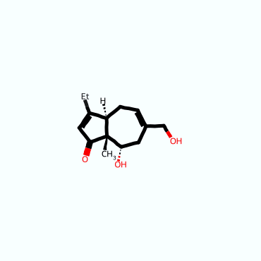 CCC1=CC(=O)[C@]2(C)[C@@H]1CC=C(CO)C[C@@H]2O